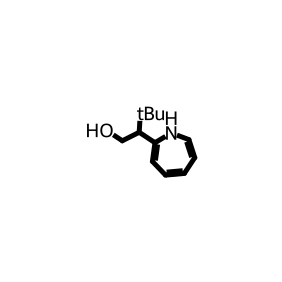 CC(C)(C)C(CO)C1=CC=CC=CN1